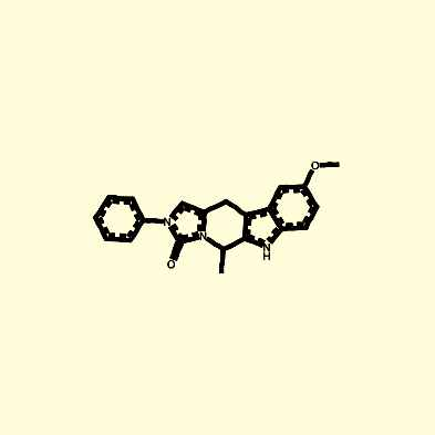 COc1ccc2[nH]c3c(c2c1)Cc1cn(-c2ccccc2)c(=O)n1C3C